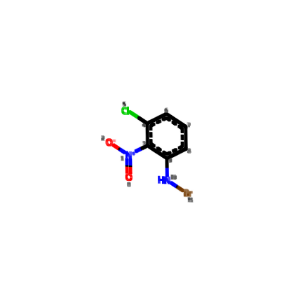 O=[N+]([O-])c1c(Cl)cccc1NBr